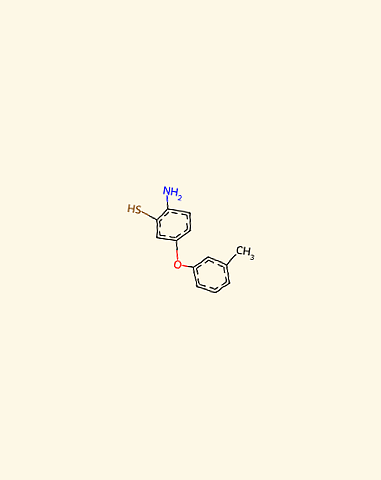 Cc1cccc(Oc2ccc(N)c(S)c2)c1